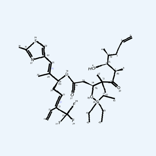 C=CC[C@H](C)[C@H](O)[C@@H](C)C(=O)C(C)(C)[C@H](CC(=O)O[C@@H](C/C=C(\C=C)C(F)(F)F)/C(C)=C/c1csc(C)n1)O[Si](CC)(CC)CC